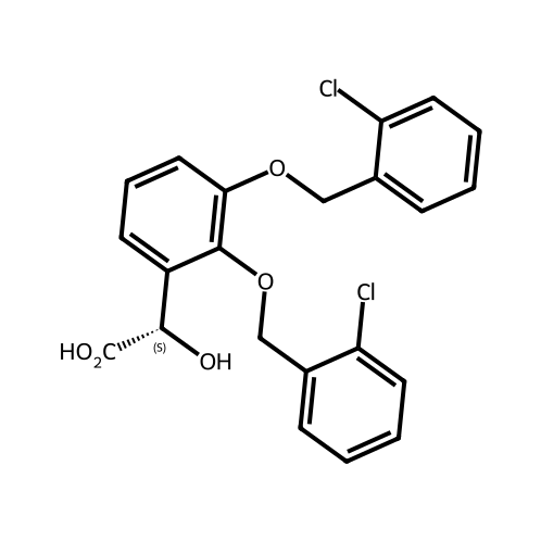 O=C(O)[C@@H](O)c1cccc(OCc2ccccc2Cl)c1OCc1ccccc1Cl